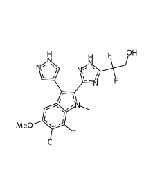 COc1cc2c(-c3cn[nH]c3)c(-c3n[nH]c(C(F)(F)CO)n3)n(C)c2c(F)c1Cl